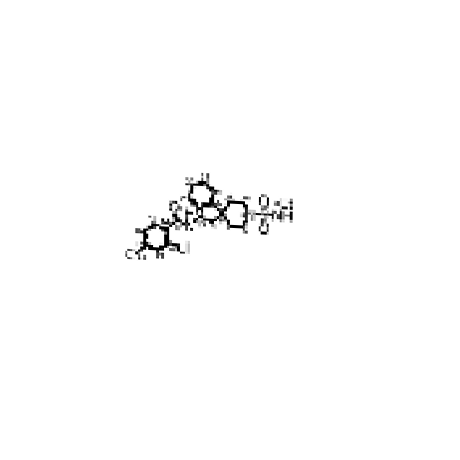 CCNS(=O)(=O)N1CCC(CCNC(=O)c2ccc(Cl)cc2Cl)(c2ccccn2)CC1